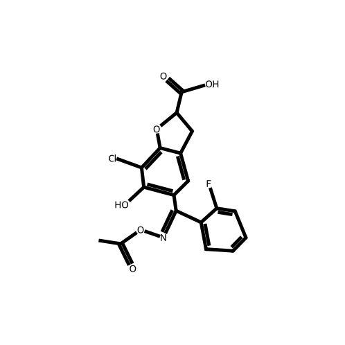 CC(=O)O/N=C(/c1ccccc1F)c1cc2c(c(Cl)c1O)OC(C(=O)O)C2